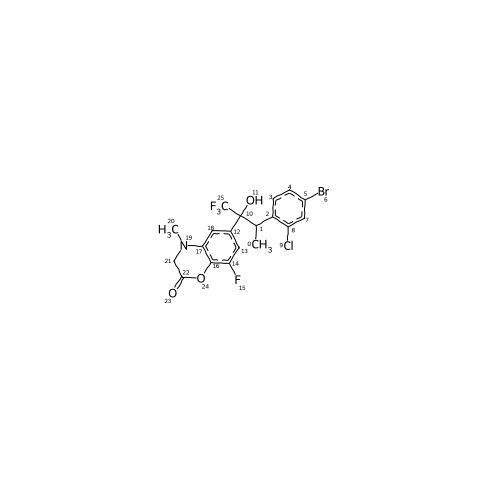 CC(c1ccc(Br)cc1Cl)C(O)(c1cc(F)c2c(c1)N(C)CC(=O)O2)C(F)(F)F